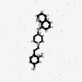 Fc1ccc(CCN2CCC(Sc3cccc4cccnc34)CC2)c(F)c1